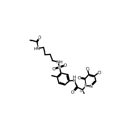 CC(=O)NCCCCNS(=O)(=O)c1cc(NC(=O)[C@H](C)n2ncc(Cl)c(Cl)c2=O)ccc1C